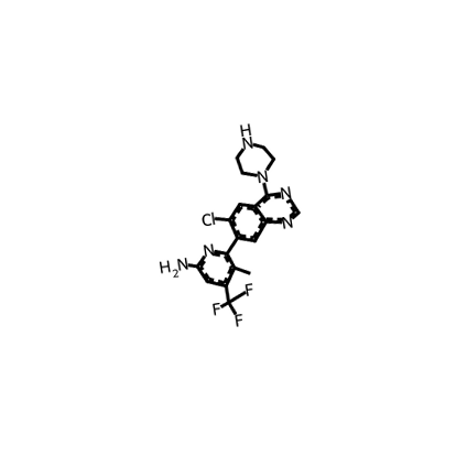 Cc1c(C(F)(F)F)cc(N)nc1-c1cc2ncnc(N3CCNCC3)c2cc1Cl